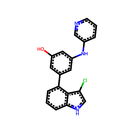 Oc1cc(Nc2cccnc2)cc(-c2cccc3[nH]cc(Cl)c23)c1